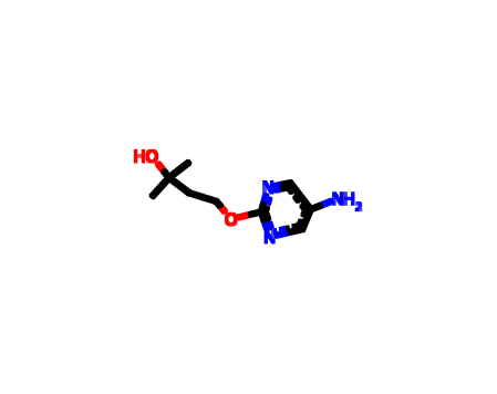 CC(C)(O)CCOc1ncc(N)cn1